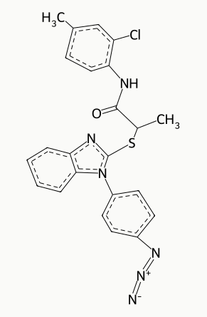 Cc1ccc(NC(=O)C(C)Sc2nc3ccccc3n2-c2ccc(N=[N+]=[N-])cc2)c(Cl)c1